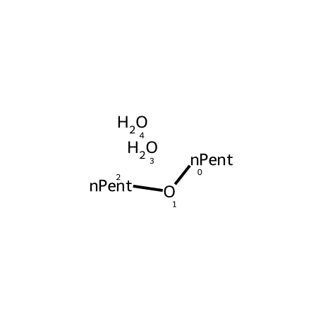 CCCCCOCCCCC.O.O